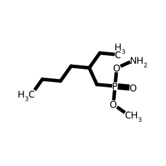 CCCCC(CC)CP(=O)(OC)ON